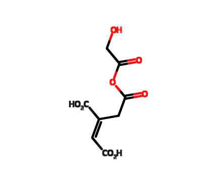 O=C(O)C=C(CC(=O)OC(=O)CO)C(=O)O